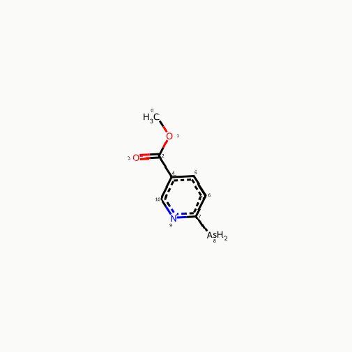 COC(=O)c1ccc([AsH2])nc1